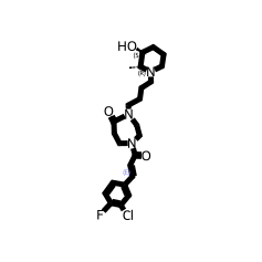 C[C@@H]1[C@@H](O)CCCN1CCCCN1CCN(C(=O)/C=C/c2ccc(F)c(Cl)c2)CCC1=O